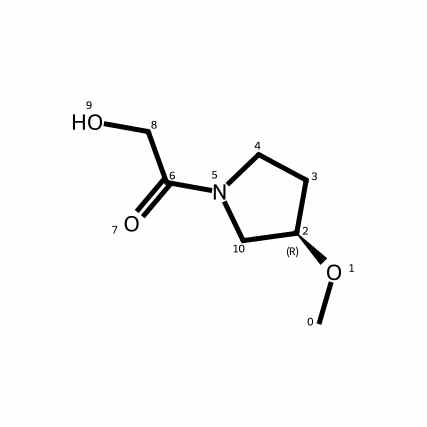 CO[C@@H]1CCN(C(=O)CO)C1